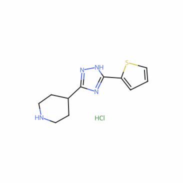 Cl.c1csc(-c2nc(C3CCNCC3)n[nH]2)c1